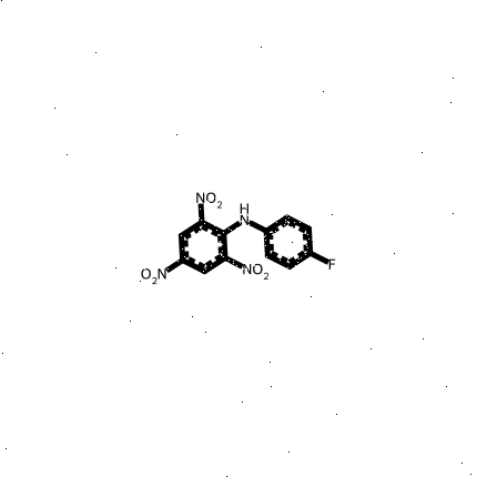 O=[N+]([O-])c1cc([N+](=O)[O-])c(Nc2ccc(F)cc2)c([N+](=O)[O-])c1